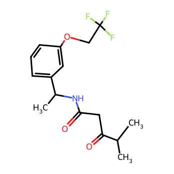 CC(C)C(=O)CC(=O)NC(C)c1cccc(OCC(F)(F)F)c1